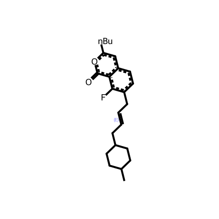 CCCCc1cc2ccc(C/C=C/CC3CCC(C)CC3)c(F)c2c(=O)o1